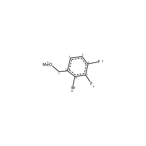 COCc1ccc(F)c(F)c1Br